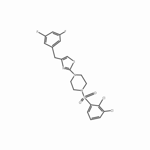 O=S(=O)(c1cccc(Cl)c1Cl)N1CCN(c2nc(Cc3cc(F)cc(F)c3)cs2)CC1